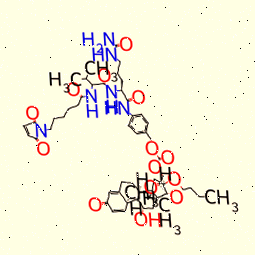 CCCC1O[C@@H]2C[C@H]3[C@@H]4CCC5=CC(=O)C=C[C@]5(C)[C@H]4[C@@H](O)C[C@]3(C)[C@]2(C(=O)COC(=O)OCc2ccc(NC(=O)[C@H](CCCNC(N)=O)NC(=O)C(NC(=O)CCCCCN3C(=O)C=CC3=O)C(C)C)cc2)O1